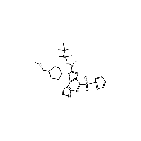 COCC1CCC(n2c([C@@H](C)O[Si](C)(C)C(C)(C)C)nc3c(S(=O)(=O)c4ccccc4)nc4[nH]ccc4c32)CC1